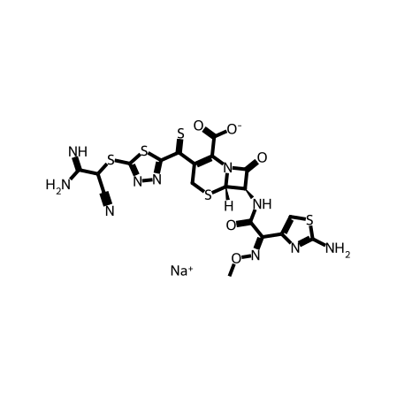 CO/N=C(\C(=O)N[C@@H]1C(=O)N2C(C(=O)[O-])=C(C(=S)c3nnc(SC(C#N)C(=N)N)s3)CS[C@@H]12)c1csc(N)n1.[Na+]